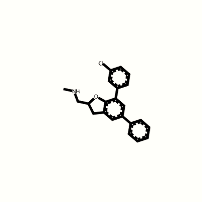 CNCC1Cc2cc(-c3ccccc3)cc(-c3cccc(Cl)c3)c2O1